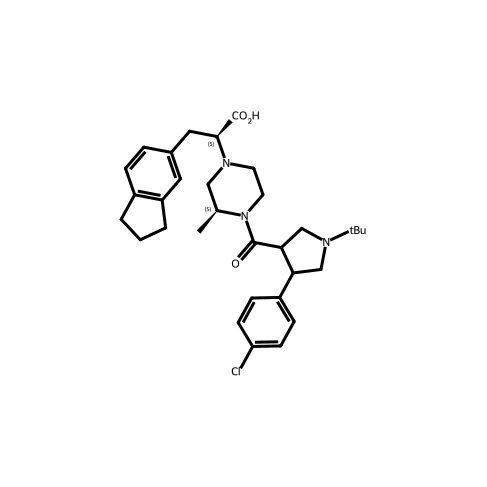 C[C@H]1CN([C@@H](Cc2ccc3c(c2)CCC3)C(=O)O)CCN1C(=O)C1CN(C(C)(C)C)CC1c1ccc(Cl)cc1